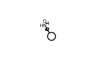 O=C(I)NC12CC(C3CCCCCCCCC3)(C1)C2